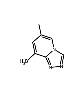 Bc1cc(C)cn2cnnc12